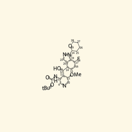 COc1cncc(NC(=O)OC(C)(C)C)c1C(O)c1ccc(F)c2c1cnn2C1CCCCO1